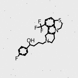 OC(CCCN1CCc2c(c3c(C(F)(F)F)ccc4c3n2CCS4)C1)c1ccc(F)cc1